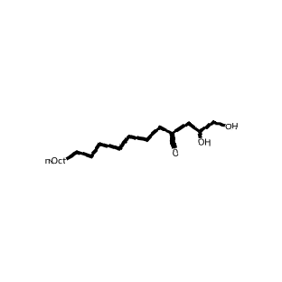 CCCCCCCCCCCCCCCC(=O)CC(O)[CH]O